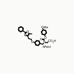 CCCCC[C@H](c1ccc(OCCc2nc(-c3ccccc3)oc2C)cc1)N(CC(=O)O)C(=O)Oc1ccc(OC)cc1